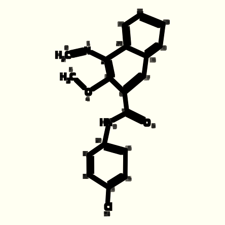 C=Nc1c(OC)c(C(=O)Nc2ccc(Cl)cc2)cc2ccccc12